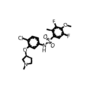 COc1c(F)cc(S(=O)(=O)Nc2ccc(Cl)c(OC3CCN(C)C3)c2)c(C)c1F